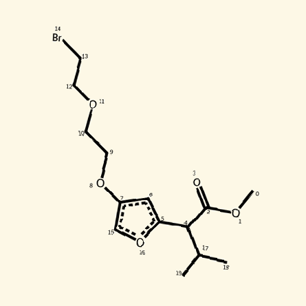 COC(=O)C(c1cc(OCCOCCBr)co1)C(C)C